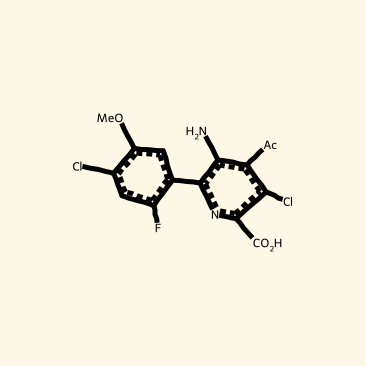 COc1cc(-c2nc(C(=O)O)c(Cl)c(C(C)=O)c2N)c(F)cc1Cl